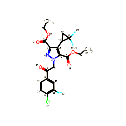 CCOC(=O)c1nn(CC(=O)c2ccc(Cl)c(F)c2)c(C(=O)OCC)c1C1CC1(F)F